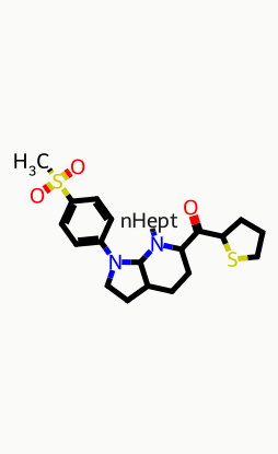 CCCCCCCN1C(C(=O)C2CCCS2)CCC2CCN(c3ccc(S(C)(=O)=O)cc3)C21